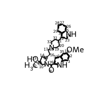 COc1ccc2[nH]c(C(=O)N3C[C@@](C)(O)C[C@H]3CCN3CCC(c4c[nH]c5ccccc45)CC3)cc2c1